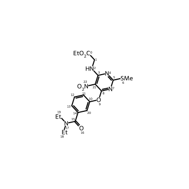 CCOC(=O)CNc1nc(SC)nc(Oc2cccc(C(=O)N(CC)CC)c2)c1[N+](=O)[O-]